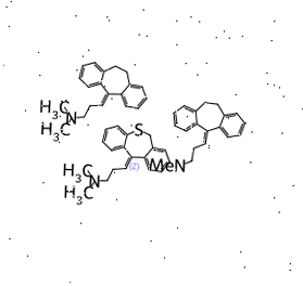 CN(C)CC/C=C1/c2ccccc2CSc2ccccc21.CN(C)CCC=C1c2ccccc2CCc2ccccc21.CNCCC=C1c2ccccc2CCc2ccccc21